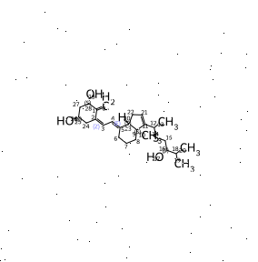 C=C1/C(=C\C=C2/CCC[C@]3(C)C(C(C)SC[C@@H](O)C(C)C)=CC[C@@H]23)C[C@@H](O)C[C@@H]1O